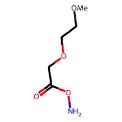 COCCOCC(=O)ON